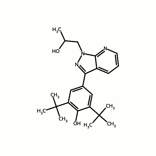 CC(O)Cn1nc(-c2cc(C(C)(C)C)c(O)c(C(C)(C)C)c2)c2cccnc21